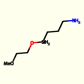 COCCO[SiH2]CCCN